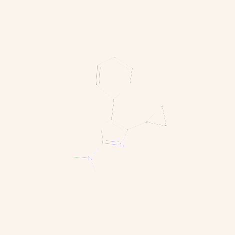 FN(F)c1nc(C2CC2)c(-c2ccccc2)s1